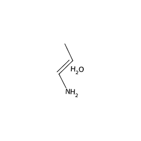 CC=CN.O